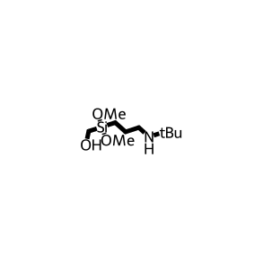 CO[Si](CO)(CCCNC(C)(C)C)OC